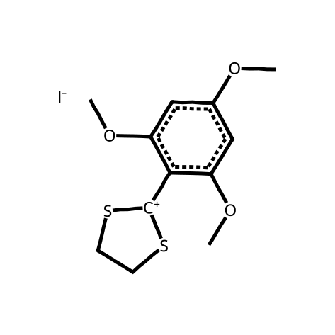 COc1cc(OC)c([C+]2SCCS2)c(OC)c1.[I-]